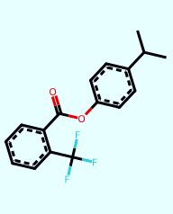 CC(C)c1ccc(OC(=O)c2ccccc2C(F)(F)F)cc1